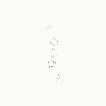 CCCC(=O)OCCc1nccc(N2C[C@@H](C)N(c3ccnc(CCOC(=O)CCC)n3)[C@@H](C)C2)n1